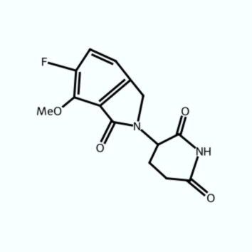 COc1c(F)ccc2c1C(=O)N(C1CCC(=O)NC1=O)C2